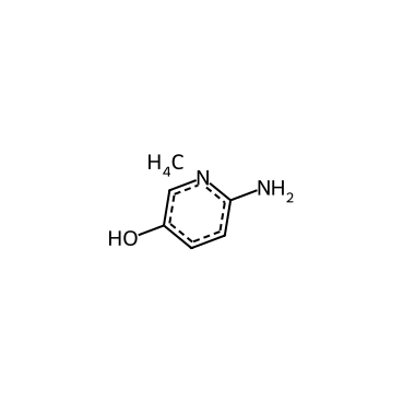 C.Nc1ccc(O)cn1